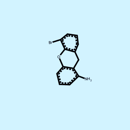 Nc1cccc2c1Cc1cccc(Br)c1O2